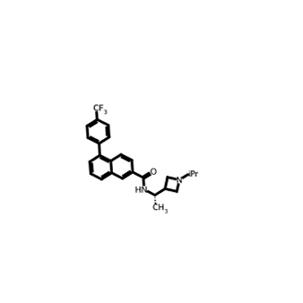 CC(C)N1CC([C@H](C)NC(=O)c2ccc3c(-c4ccc(C(F)(F)F)cc4)cccc3c2)C1